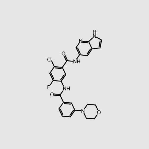 O=C(Nc1cc(C(=O)Nc2cnc3[nH]ccc3c2)c(Cl)cc1F)c1cccc(N2CCOCC2)c1